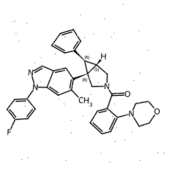 Cc1cc2c(cnn2-c2ccc(F)cc2)cc1[C@]12CN(C(=O)c3ccccc3N3CCOCC3)C[C@H]1[C@@H]2c1ccccc1